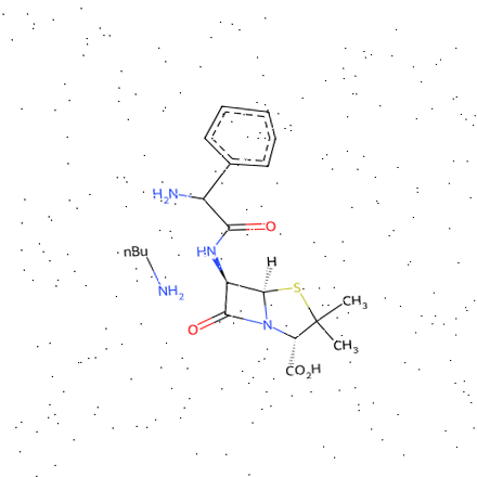 CC1(C)S[C@@H]2[C@H](NC(=O)C(N)c3ccccc3)C(=O)N2[C@H]1C(=O)O.CCCCN